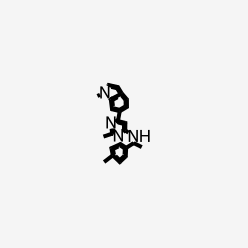 Cc1ccc(C(C)Nc2cc(-c3ccc4ccn(C)c4c3)nc(C)n2)cc1